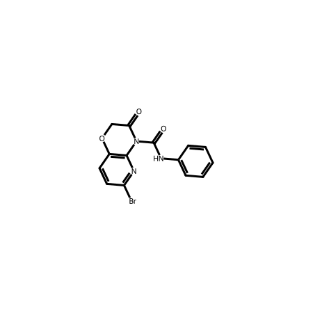 O=C1COc2ccc(Br)nc2N1C(=O)Nc1ccccc1